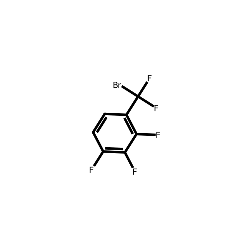 Fc1ccc(C(F)(F)Br)c(F)c1F